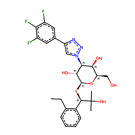 CCc1ccccc1[C@@H](S[C@@H]1O[C@H](CO)[C@H](O)[C@H](n2cc(-c3cc(F)c(F)c(F)c3)nn2)[C@H]1O)C(C)(C)O